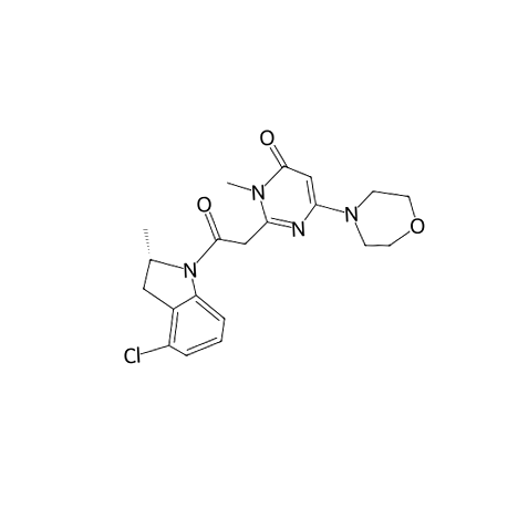 C[C@H]1Cc2c(Cl)cccc2N1C(=O)Cc1nc(N2CCOCC2)cc(=O)n1C